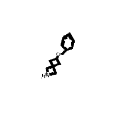 c1ccc(COC2CC3(CNC3)C2)cc1